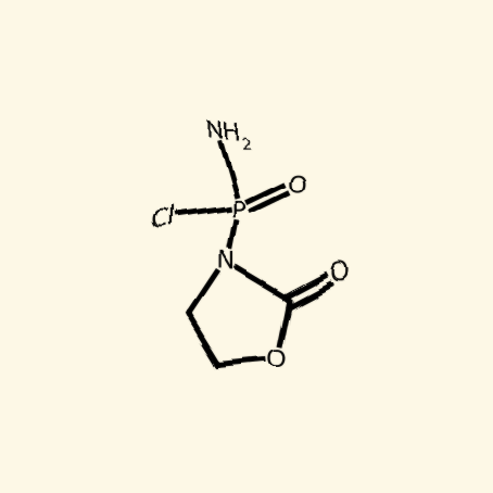 NP(=O)(Cl)N1CCOC1=O